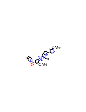 COc1nccc(-c2ccc3cc(-c4nc5cc(C(=O)N6CC7CC(C6)[C@@H](C)C7)cc(OC)c5n4C)n(CC4CC4)c3n2)c1C